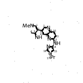 CN/C=C(\C(C)=N)c1cnc2ccc(Nc3cn(C(C)C)cn3)nc2c1